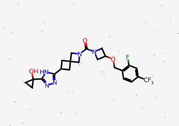 O=C(N1CC(OCc2ccc(C(F)(F)F)cc2F)C1)N1CC2(CC(c3nnc(C4(O)CC4)[nH]3)C2)C1